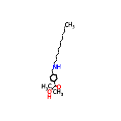 CCCCCCCCCCCCNCc1ccc(C(=O)C(C)(C)O)cc1